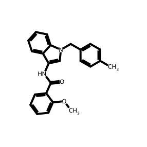 COc1ccccc1C(=O)Nc1cn(Cc2ccc(C)cc2)c2ccccc12